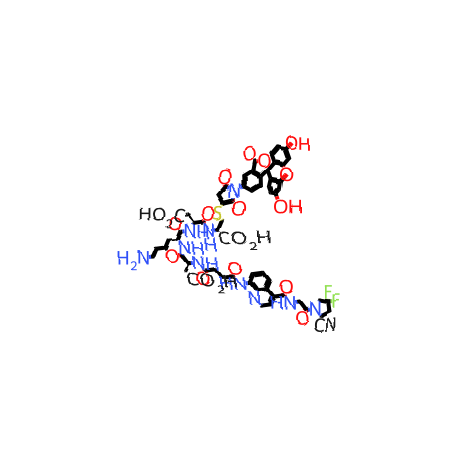 N#CC1CC(F)(F)CN1C(=O)CNC(=O)c1ccnc2c(NC(=O)CCC(=O)N[C@@H](CC(=O)O)C(=O)N[C@@H](CCCCN)C(=O)N[C@@H](CC(=O)O)C(=O)N[C@@H](CSC3CC(=O)N(c4ccc5c(c4)C(=O)OC54c5ccc(O)cc5Oc5cc(O)ccc54)C3=O)C(=O)O)cccc12